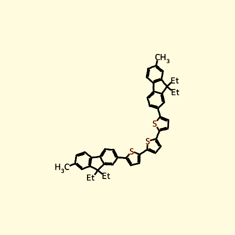 CCC1(CC)c2cc(C)ccc2-c2ccc(-c3ccc(-c4ccc(-c5ccc(-c6ccc7c(c6)C(CC)(CC)c6cc(C)ccc6-7)s5)s4)s3)cc21